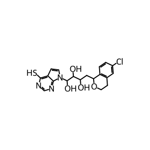 OC(CC1OCCc2cc(Cl)ccc21)C(O)C(O)n1ccc2c(S)ncnc21